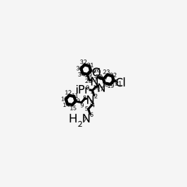 CC(C)C(CN(CCCN)CCc1ccccc1)c1nc2cc(Cl)ccc2c(=O)n1Cc1ccccc1